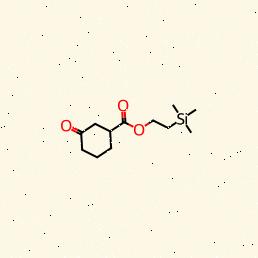 C[Si](C)(C)CCOC(=O)C1CCCC(=O)C1